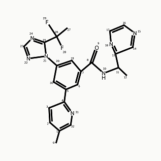 Cc1ccc(-c2cc(C(=O)NC(C)c3cnccn3)cc(-n3ncnc3C(C)(F)F)c2)nc1